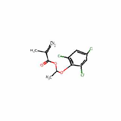 C=C(C)C(=O)OC(C)Oc1c(Cl)cc(Cl)cc1Cl